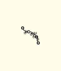 O=C(CC1CCN(C(=O)CCc2ccccc2)CC1)N[C@H](CO)Cc1ccc(OCc2ccccc2)cc1